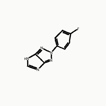 Fc1ccc(-n2nc3n[c][nH]c3n2)cc1